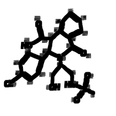 CS(=O)(=O)NC[C@@H](CO)N1C(=O)c2ccccc2C(C(=O)O)C1c1ccc(Cl)cc1